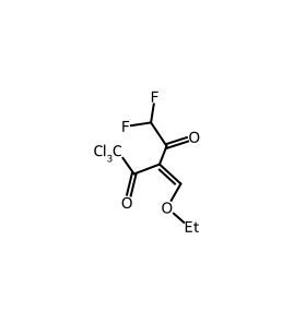 CCOC=C(C(=O)C(F)F)C(=O)C(Cl)(Cl)Cl